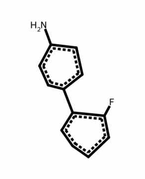 Nc1ccc(-c2ccccc2F)cc1